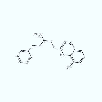 CCOC(=O)C(CCC(=O)Nc1c(Cl)cccc1Cl)CCc1ccccc1